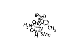 CSc1nc(Nc2cc(C)ccc2S(=O)(=O)C(C)C)c(C(N)=O)c(=O)[nH]1